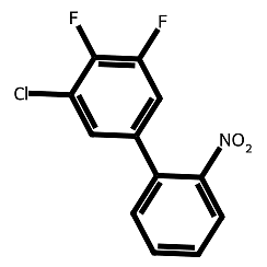 O=[N+]([O-])c1ccccc1-c1cc(F)c(F)c(Cl)c1